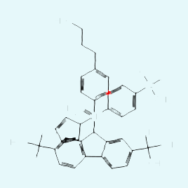 [CH2]=[Hf]([c]1ccc(CCCC)cc1)([c]1ccc([Si](C)(C)C)cc1)([CH]1C=CC=C1)[CH]1c2cc(C(C)(C)C)ccc2-c2ccc(C(C)(C)C)cc21